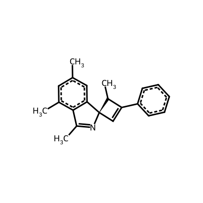 CC1=N[C@@]2(C=C(c3ccccc3)C2C)c2cc(C)cc(C)c21